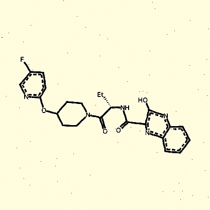 CC[C@H](NC(=O)c1nc2ccccc2nc1O)C(=O)N1CCC(Oc2ccc(F)cn2)CC1